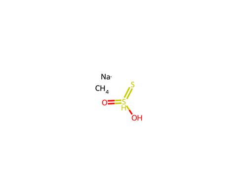 C.O=[SH](O)=S.[Na]